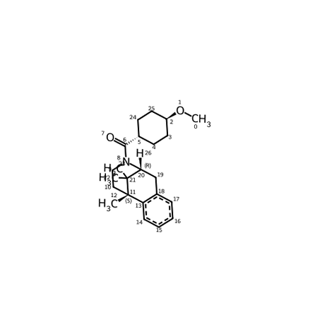 CO[C@H]1CC[C@H](C(=O)N2CC[C@@]3(C)c4ccccc4C[C@@H]2C3(C)C)CC1